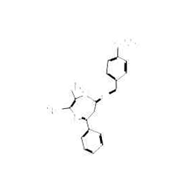 COc1ccc(C=C=C2CC(c3ccccc3)=NC(C#N)=C(C#N)N2)cc1